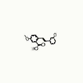 COc1ccc(C=Cc2cccc(Cl)c2)c(C(=O)O)c1